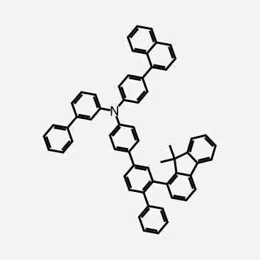 CC1(C)c2ccccc2-c2cccc(-c3cc(-c4ccc(N(c5ccc(-c6cccc7ccccc67)cc5)c5cccc(-c6ccccc6)c5)cc4)ccc3-c3ccccc3)c21